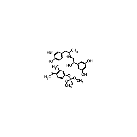 Br.CC(Cc1ccc(O)cc1)NCC(O)c1cc(O)cc(O)c1.COP(=S)(OC)Oc1ccc(SC)c(C)c1